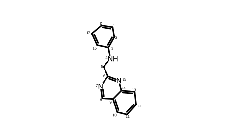 c1ccc(NCc2ncc3ccccc3n2)cc1